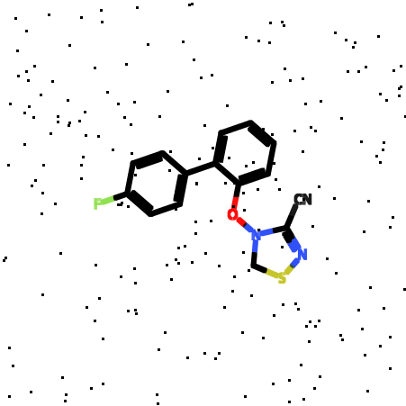 N#CC1=NSCN1Oc1ccccc1-c1ccc(F)cc1